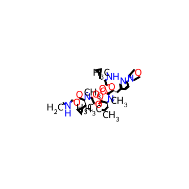 C=CNCOC(=O)[C@H](CC1CC1)N(C)C(=O)[C@@H](C)OC(=O)[C@H](CC(C)C)N(C)C(=O)[C@@H](Cc1ccc(N2CCOCC2)nc1)OC(=O)[C@H](CC1CC1)NC